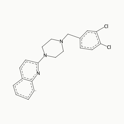 Clc1ccc(CN2CCN(c3ccc4ccc[c]c4n3)CC2)cc1Cl